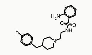 Nc1ccccc1S(=O)(=O)NCCN1CCC(Cc2ccc(F)cc2)CC1